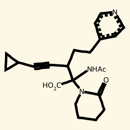 CC(=O)NC(C(=O)O)(C(C#CC1CC1)CCc1ccncc1)N1CCCCC1=O